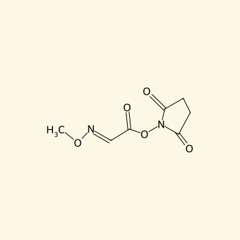 CO/N=C/C(=O)ON1C(=O)CCC1=O